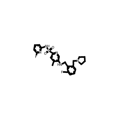 Cc1cc(S(=O)(=O)Nc2cccc(F)n2)ncc1NCc1c(F)cccc1CN1CCCC1